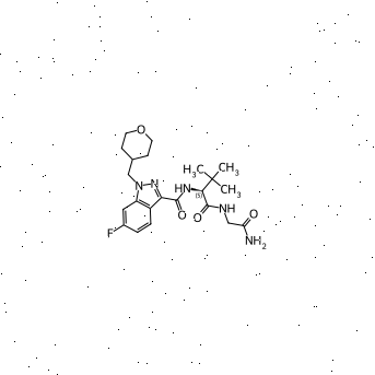 CC(C)(C)[C@H](NC(=O)c1nn(CC2CCOCC2)c2cc(F)ccc12)C(=O)NCC(N)=O